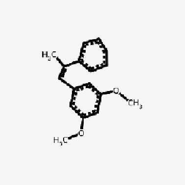 COc1cc(C=C(C)c2ccccc2)cc(OC)c1